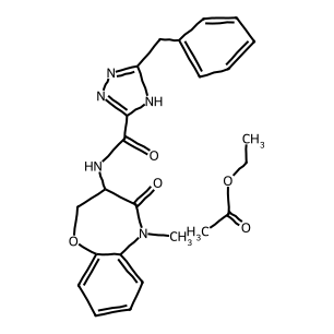 CCOC(C)=O.CN1C(=O)C(NC(=O)c2nnc(Cc3ccccc3)[nH]2)COc2ccccc21